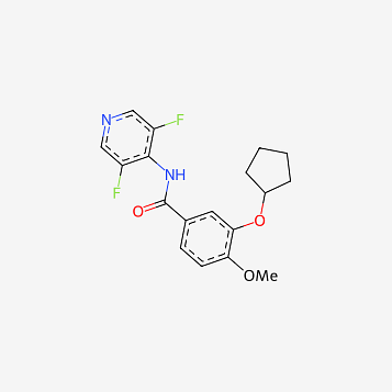 COc1ccc(C(=O)Nc2c(F)cncc2F)cc1OC1CCCC1